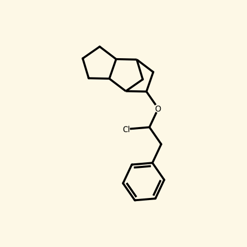 ClC(Cc1ccccc1)OC1CC2CC1C1CCCC21